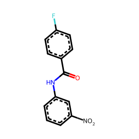 O=C(Nc1cccc([N+](=O)[O-])c1)c1ccc(F)cc1